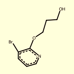 OCCCOc1ncccc1Br